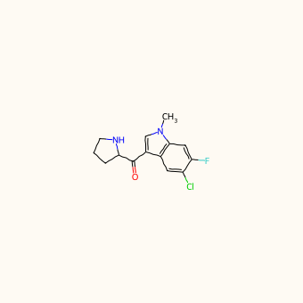 Cn1cc(C(=O)C2CCCN2)c2cc(Cl)c(F)cc21